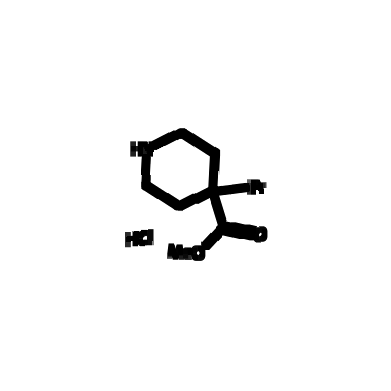 COC(=O)C1(C(C)C)CCNCC1.Cl